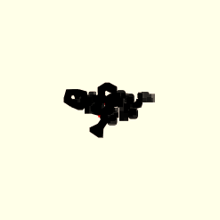 CC(C)(C)CS(=O)(=O)NC(=O)c1ccc2nc(N3C4CCC3CC(NCc3c(-c5c(Cl)cccc5Cl)noc3C3CC3)C4)sc2c1